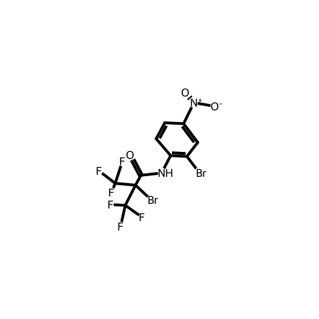 O=C(Nc1ccc([N+](=O)[O-])cc1Br)C(Br)(C(F)(F)F)C(F)(F)F